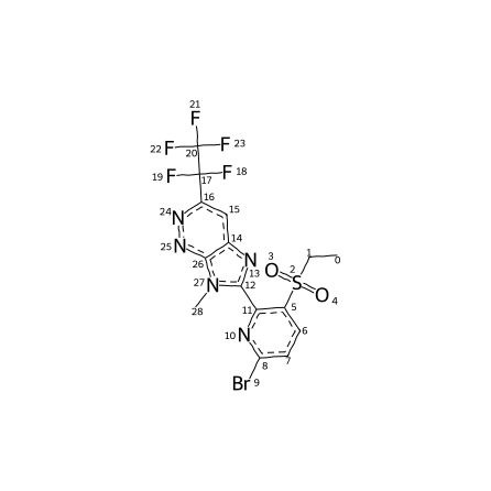 CCS(=O)(=O)c1ccc(Br)nc1-c1nc2cc(C(F)(F)C(F)(F)F)nnc2n1C